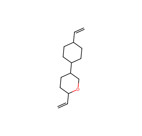 C=CC1CCC(C2CCC(C=C)OC2)CC1